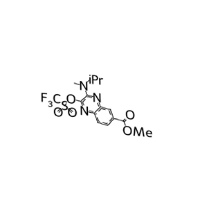 COC(=O)c1ccc2nc(OS(=O)(=O)C(F)(F)F)c(N(C)C(C)C)nc2c1